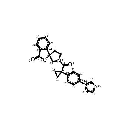 O=C1O[C@]2(CCN(C(=O)C3(c4ccc(-n5cncn5)cc4)CC3)C2)c2ccccc21